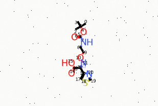 CC(C)(C)OC(=O)NCCO/N=C(\C(=O)O)c1cscn1